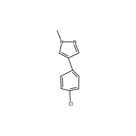 Cn1[c]c(-c2ccc(Cl)cc2)cn1